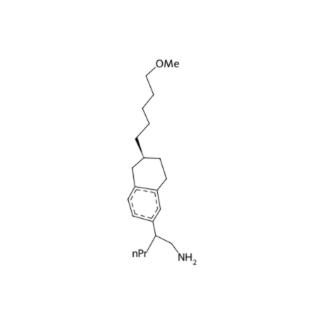 CCCC(CN)c1ccc2c(c1)CC[C@H](CCCCCOC)C2